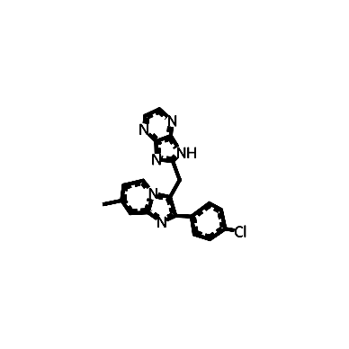 Cc1ccn2c(Cc3nc4nccnc4[nH]3)c(-c3ccc(Cl)cc3)nc2c1